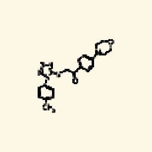 Cc1ccc(-n2nnnc2SCC(=O)c2ccc(N3CCOCC3)cc2)cc1